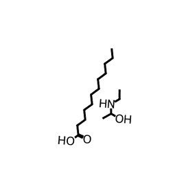 CCCCCCCCCCCC(=O)O.CCNC(C)O